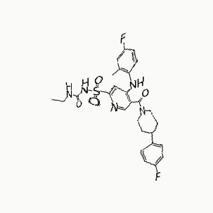 CCNC(=O)NS(=O)(=O)c1cc(Nc2ccc(F)cc2C)c(C(=O)N2CCC(c3ccc(F)cc3)CC2)cn1